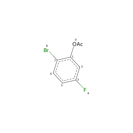 CC(=O)Oc1cc(F)ccc1Br